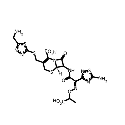 CC(O/N=C(\C(=O)NC1C(=O)N2C(C(=O)O)=C(CSc3nnc(CN)s3)CS[C@H]12)c1nsc(N)n1)C(=O)O